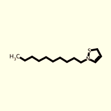 CCCCCCCCCCN1C=CCS1